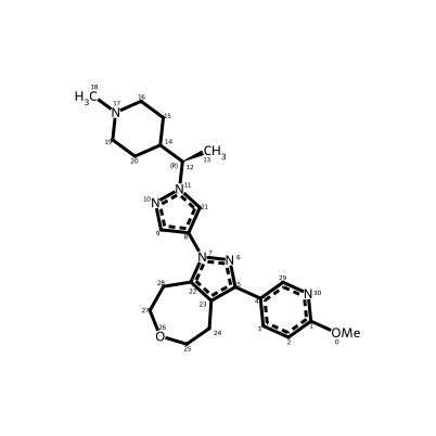 COc1ccc(-c2nn(-c3cnn([C@H](C)C4CCN(C)CC4)c3)c3c2CCOCC3)cn1